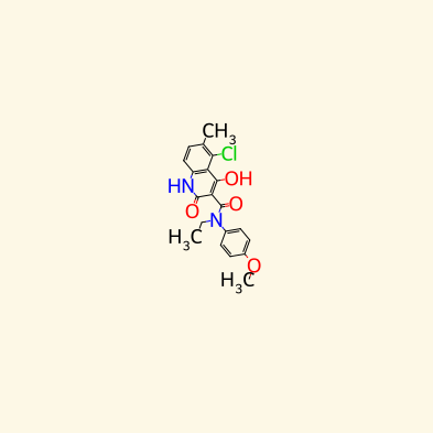 CCN(C(=O)c1c(O)c2c(Cl)c(C)ccc2[nH]c1=O)c1ccc(OC)cc1